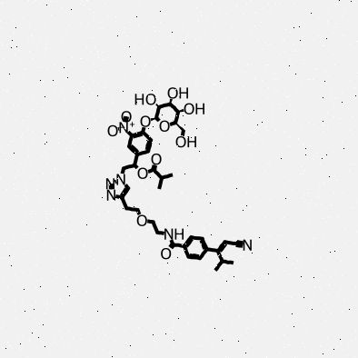 CC(C)C(=O)OC(Cn1cc(CCOCCNC(=O)c2ccc(C(=CC#N)C(C)C)cc2)nn1)c1ccc(O[C@@H]2O[C@H](CO)[C@H](O)[C@H](O)[C@H]2O)c([N+](=O)[O-])c1